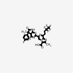 Cc1nc2c(CCC(F)(F)C(F)(F)F)nc(-c3nc(N)c4c(n3)NC(=O)C4(C)c3ccc(F)cc3)cn2c1C(=O)O